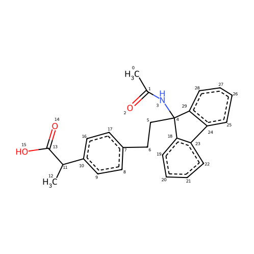 CC(=O)NC1(CCc2ccc(C(C)C(=O)O)cc2)c2ccccc2-c2ccccc21